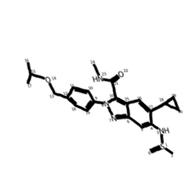 C=S(C)Nc1cc2nn(-c3ccc(COC(C)C)cc3)c(C(=O)NC)c2cc1C1CC1